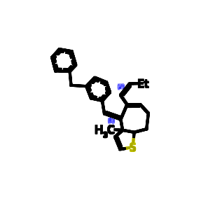 CC/C=C\C1=CCCC2SC=CC2(C)/C1=C/c1cccc(Cc2ccccc2)c1